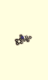 c1ccc(-c2c3ccccc3c(-c3cccc(-c4nc5ccccc5c5cc6c(cc45)-c4ccccc4Cc4ccccc4-c4ccccc4C6)c3)c3ccccc23)cc1